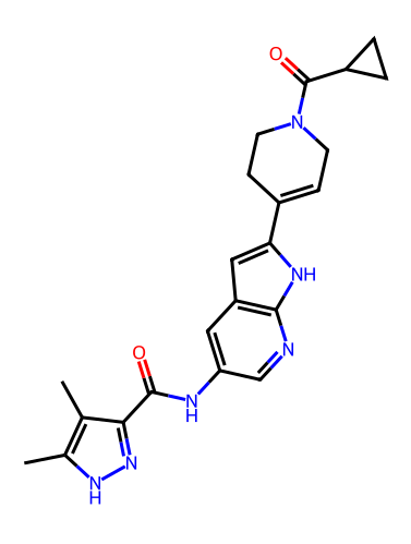 Cc1[nH]nc(C(=O)Nc2cnc3[nH]c(C4=CCN(C(=O)C5CC5)CC4)cc3c2)c1C